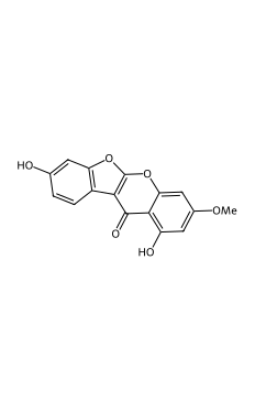 COc1cc(O)c2c(=O)c3c(oc2c1)oc1cc(O)ccc13